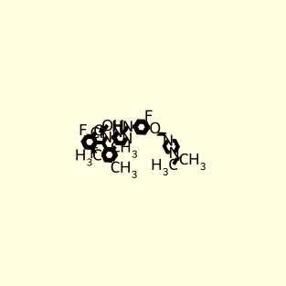 Cc1cc(C)c(C(c2c(F)ccc(F)c2Cl)N(C(=O)O)c2ccnc(Nc3ccc(OCCN4CCN(C(C)C)CC4)c(F)c3)n2)c(C)c1